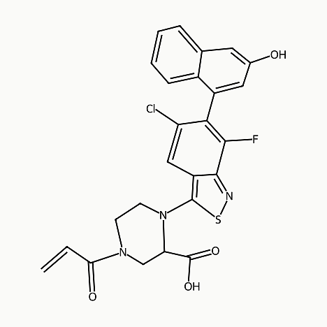 C=CC(=O)N1CCN(c2snc3c(F)c(-c4cc(O)cc5ccccc45)c(Cl)cc23)C(C(=O)O)C1